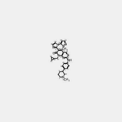 CN1CCCC(c2ccc(Nc3ncc4cc(-c5nccn5-c5ccnn5C)c(=O)n(CC5CC5)c4n3)cc2)C1